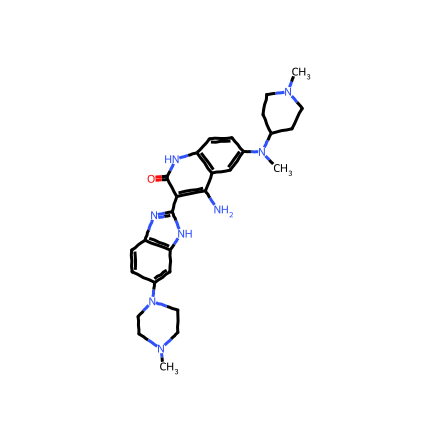 CN1CCC(N(C)c2ccc3[nH]c(=O)c(-c4nc5ccc(N6CCN(C)CC6)cc5[nH]4)c(N)c3c2)CC1